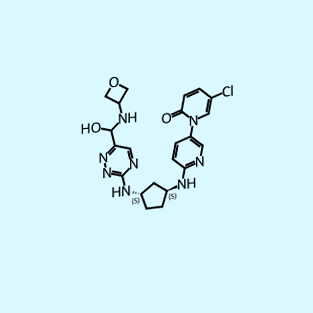 O=c1ccc(Cl)cn1-c1ccc(N[C@H]2CC[C@H](Nc3ncc(C(O)NC4COC4)nn3)C2)nc1